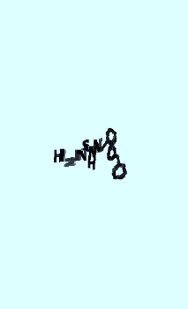 NC(=S)N/N=C/c1ccccc1OCc1ccccc1